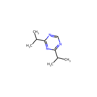 CC(C)c1ncnc(C(C)C)n1